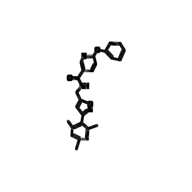 Cc1cc(C)c(-c2cc(CNC(=O)c3ccc(Oc4ccccc4)nc3)on2)c(C)c1